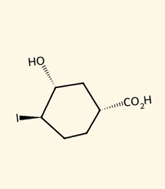 O=C(O)[C@@H]1CC[C@@H](I)[C@H](O)C1